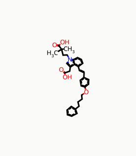 CC(C)(CCn1cc(CC(=O)O)c2c(C=Cc3ccc(OCCCCc4ccccc4)cc3)cccc21)C(=O)O